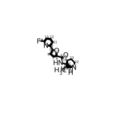 C[C@H]1[C@H](NC(=O)c2ccc(-c3cccc(F)n3)o2)C2CCN1CC2